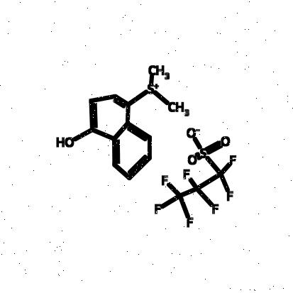 C[S+](C)c1ccc(O)c2ccccc12.O=S(=O)([O-])C(F)(F)C(F)(F)C(F)(F)F